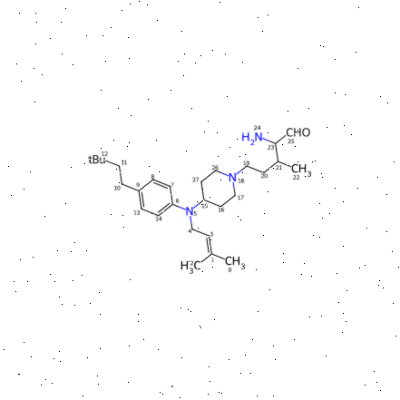 CC(C)=CCN(c1ccc(CCC(C)(C)C)cc1)C1CCN(CCC(C)C(N)C=O)CC1